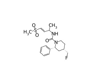 CC(/C=C/S(C)(=O)=O)NC(=O)N1CC[C@H](CF)C[C@@H]1c1ccccc1